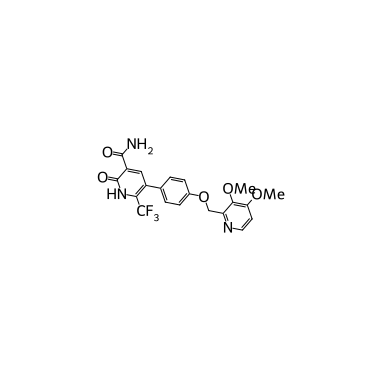 COc1ccnc(COc2ccc(-c3cc(C(N)=O)c(=O)[nH]c3C(F)(F)F)cc2)c1OC